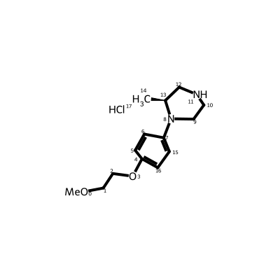 COCCOc1ccc(N2CCNC[C@@H]2C)cc1.Cl